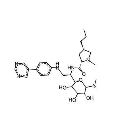 CCC[C@@H]1C[C@@H](C(=O)N[C@H](CNc2ccc(-c3cncnc3)cc2)[C@H]2OC(SC)[C@H](O)C(O)C2O)N(C)C1